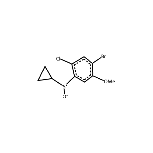 COc1cc([S+]([O-])C2CC2)c(Cl)cc1Br